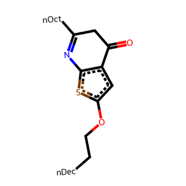 CCCCCCCCCCCCOc1cc2c(s1)N=C(CCCCCCCC)CC2=O